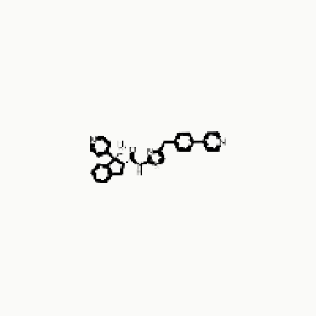 C[C@@]1(c2ccncc2)c2ccccc2C[C@H]1C(=O)Nc1nc(Cc2ccc(-c3ccncc3)cc2)cs1